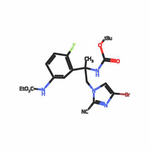 CCOC(=O)Nc1ccc(F)c(C(C)(Cn2cc(Br)nc2C#N)NC(=O)OC(C)(C)C)c1